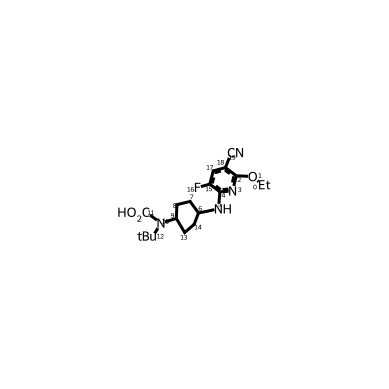 CCOc1nc(NC2CCC(N(C(=O)O)C(C)(C)C)CC2)c(F)cc1C#N